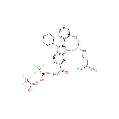 CN(C)CCNC1COc2ccccc2-c2c(C3CCCCC3)c3ccc(C(=O)O)cc3n2C1.O=C(O)C(F)(F)F.O=C(O)C(F)(F)F